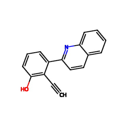 C#Cc1c(O)cccc1-c1ccc2ccccc2n1